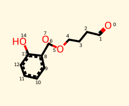 O=CCCCOC(=O)c1ccccc1O